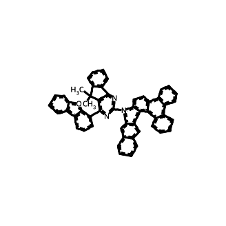 CC1(C)c2ccccc2-c2nc(-n3c4cc5ccccc5cc4c4c5c6ccccc6c6ccccc6c5ccc43)nc(-c3cccc4c3oc3ccccc34)c21